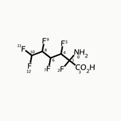 NC(F)(C(=O)O)C(F)C(F)C(F)C(F)F